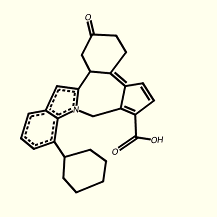 O=C1CCC2=C3C=CC(C(=O)O)=C3Cn3c(cc4cccc(C5CCCCC5)c43)C2C1